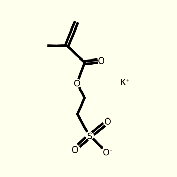 C=C(C)C(=O)OCCS(=O)(=O)[O-].[K+]